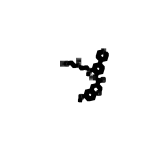 COc1ccc2c(c1)CC(C(=O)Nc1ccc(-c3ccncc3)cc1N(C)CCNCCO)CO2